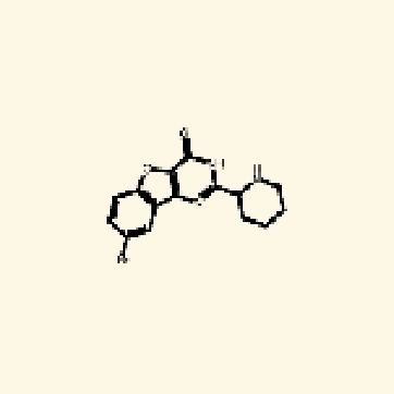 O=c1[nH]c(C2CCCCN2)nc2c1oc1ccc(Br)cc12